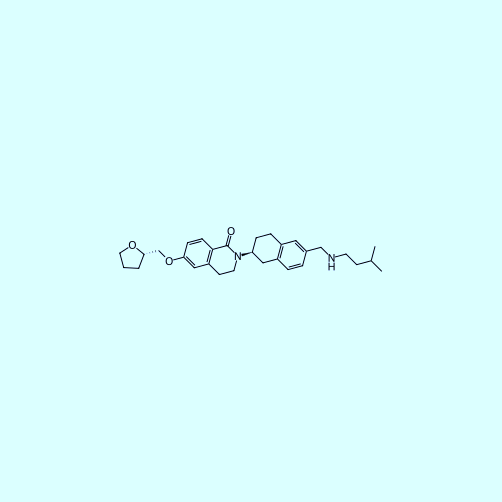 CC(C)CCNCc1ccc2c(c1)CC[C@H](N1CCc3cc(OC[C@@H]4CCCO4)ccc3C1=O)C2